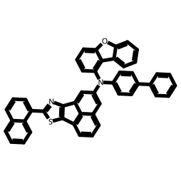 c1ccc(-c2ccc(N(c3cc4c5c(cccc5c3)-c3sc(-c5cccc6ccccc56)nc3-4)c3cccc4oc5ccccc5c34)cc2)cc1